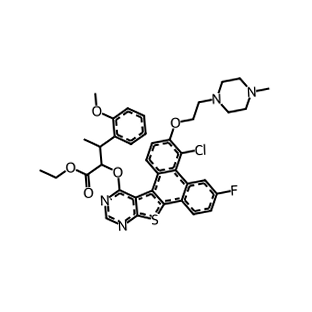 CCOC(=O)C(Oc1ncnc2sc3c4ccc(F)cc4c4c(Cl)c(OCCN5CCN(C)CC5)ccc4c3c12)C(C)c1ccccc1OC